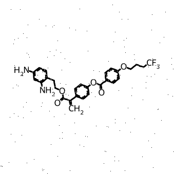 C=C(C(=O)OCCc1ccc(N)cc1N)c1ccc(OC(=O)c2ccc(OCCCC(F)(F)F)cc2)cc1